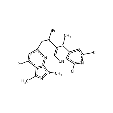 Cc1nn(C)c2nc(CN(/C(=C/C#N)N(C)c3cc(Cl)nc(Cl)c3)C(C)C)cc(C(C)C)c12